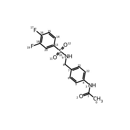 CC(=O)Nc1ccc(CNS(=O)(=O)c2ccc(F)c(F)c2)cc1